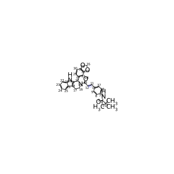 CC(C)(C)C(=O)Nc1ccc(/C=C/C(=O)N2CCc3c([nH]c4ccccc34)C2c2ccc3c(c2)OCO3)cc1